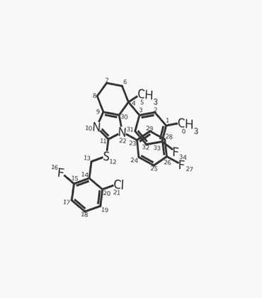 Cc1cc(C2(C)CCCc3nc(SCc4c(F)cccc4Cl)n(-c4ccc(F)cc4)c32)ccc1F